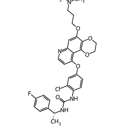 C[C@@H](NC(=O)Nc1ccc(Oc2ccnc3cc(OCCCN(C)C)c4c(c23)OCCO4)cc1Cl)c1ccc(F)cc1